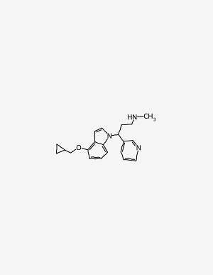 CNCCC(c1cccnc1)n1ccc2c(OCC3CC3)cccc21